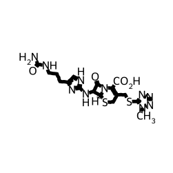 Cn1nnnc1SCC1=C(C(=O)O)N2C(=O)C(Nc3nc(CCCNC(N)=O)c[nH]3)[C@@H]2SC1